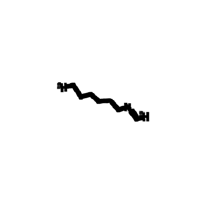 [2H]/C=N/CCCCCC[2H]